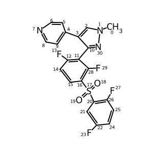 Cn1cc(-c2ccncc2)c(-c2c(F)[c]cc(S(=O)(=O)c3cc(F)ccc3F)c2F)n1